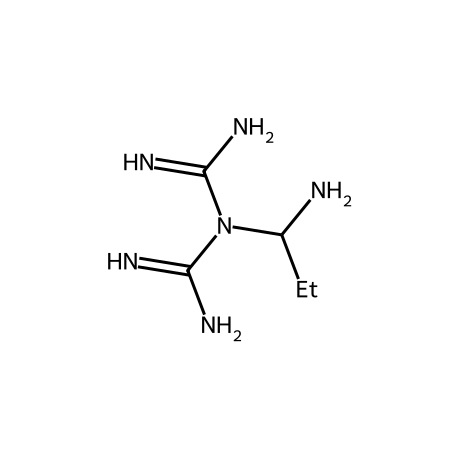 CCC(N)N(C(=N)N)C(=N)N